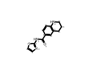 O=C(Nc1nccs1)c1ccc2c(c1)CCCN2